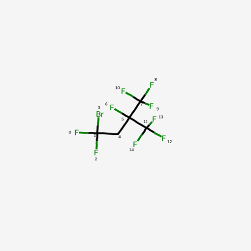 FC(F)(Br)CC(F)(C(F)(F)F)C(F)(F)F